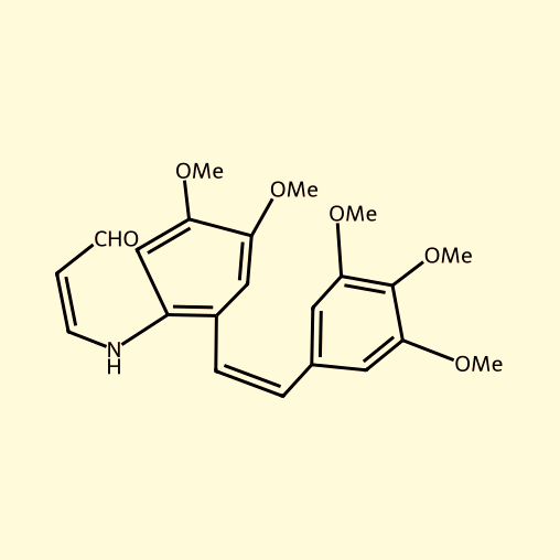 COc1cc(/C=C\c2cc(OC)c(OC)c(OC)c2)c(N/C=C\C=O)cc1OC